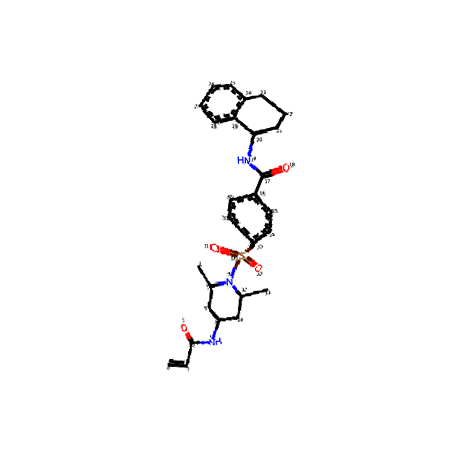 C=CC(=O)NC1CC(C)N(S(=O)(=O)c2ccc(C(=O)NC3CCCc4ccccc43)cc2)C(C)C1